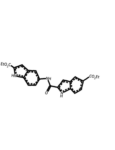 CCOC(=O)c1ccc2[nH]c(C(=O)Nc3ccc4[nH]c(C(=O)OCC)cc4c3)cc2c1